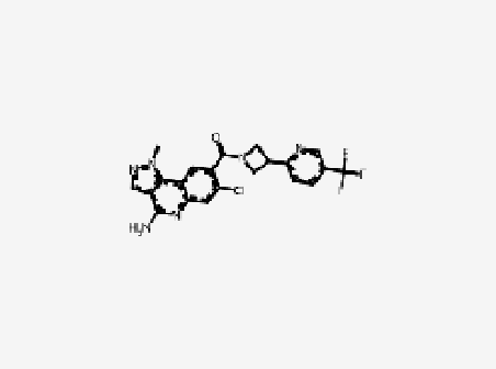 Cn1ncc2c(N)nc3cc(Cl)c(C(=O)N4CC(c5ccc(C(F)(F)F)cn5)C4)cc3c21